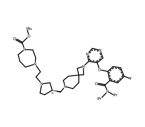 CC(C)N(C(=O)c1cc(F)ccc1Oc1cncnc1N1CC2(CCN(C[C@H]3CCN(CCN4CCCN(C(=O)OC(C)(C)C)CC4)C3)CC2)C1)C(C)C